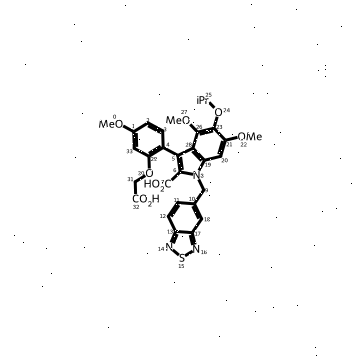 COc1ccc(-c2c(C(=O)O)n(Cc3ccc4nsnc4c3)c3cc(OC)c(OC(C)C)c(OC)c23)c(OCC(=O)O)c1